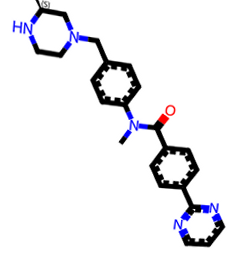 C[C@H]1CN(Cc2ccc(N(C)C(=O)c3ccc(-c4ncccn4)cc3)cc2)CCN1